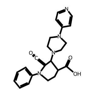 O=C=C1C(N2CCN(c3ccncc3)CC2)C(C(=O)O)CCN1c1ccccc1